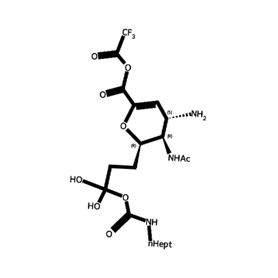 CCCCCCCNC(=O)OC(O)(O)CC[C@H]1OC(C(=O)OC(=O)C(F)(F)F)=C[C@H](N)[C@H]1NC(C)=O